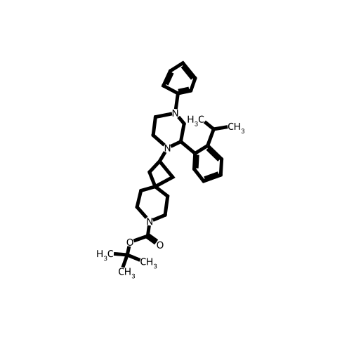 CC(C)c1ccccc1C1CN(c2ccccc2)CCN1C1CC2(CCN(C(=O)OC(C)(C)C)CC2)C1